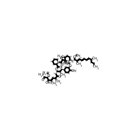 CCC[C@H](C)/C=C/C=C/C=C(\C)[C@H](C[C@@H]1CCC(C)C(O)(C(=O)C(=O)N2CCCCC2C(=O)O[C@@H](CC(=O)C(C)/C=C(\C)C(O)[C@@H](OC)C(C)=O)[C@H](C)C[C@@H]2CCC(O)[C@H](OC)C2)O1)OC